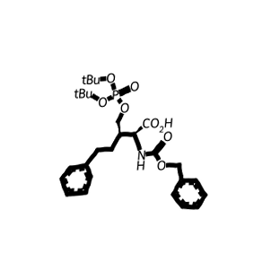 CC(C)(C)OP(=O)(OC[C@H](CCc1ccccc1)[C@H](NC(=O)OCc1ccccc1)C(=O)O)OC(C)(C)C